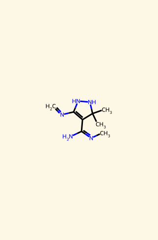 C=NC1=C(/C(N)=N\C)C(C)(C)NN1